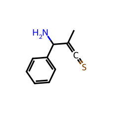 CC(=C=S)C(N)c1ccccc1